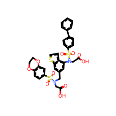 O=C(O)CN(Cc1cc(N(CC(=O)O)S(=O)(=O)c2ccc(-c3ccccc3)cc2)c2ccsc2c1)S(=O)(=O)c1ccc2c(c1)OCCO2